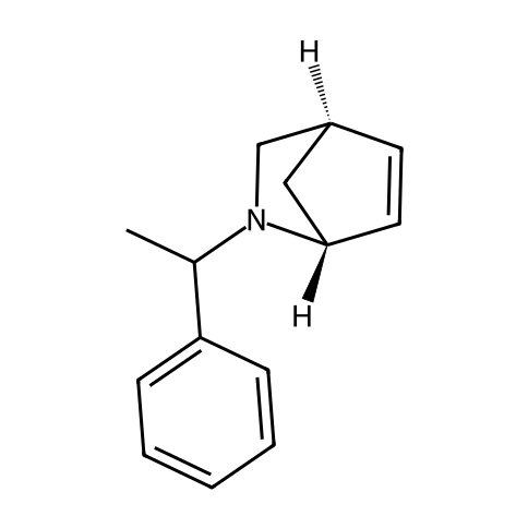 CC(c1ccccc1)N1C[C@H]2C=C[C@H]1C2